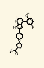 COC(=O)C1CCC(N2CC=C(c3cc4c(-c5cc(F)ccc5OC)ccnc4[nH]3)CC2)C1